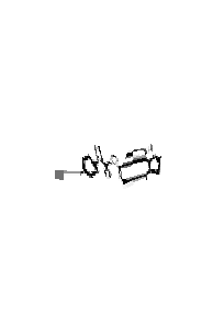 O=C(Nc1ccc(F)cc1)Oc1nnc2ccccc2c1O